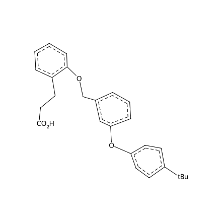 CC(C)(C)c1ccc(Oc2cccc(COc3ccccc3CCC(=O)O)c2)cc1